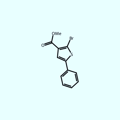 COC(=O)c1cc(-c2ccccc2)sc1Br